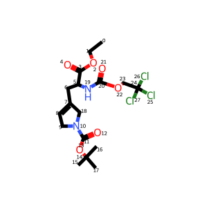 CCOC(=O)C(CC1=CCN(C(=O)OC(C)(C)C)C1)NC(=O)OCC(Cl)(Cl)Cl